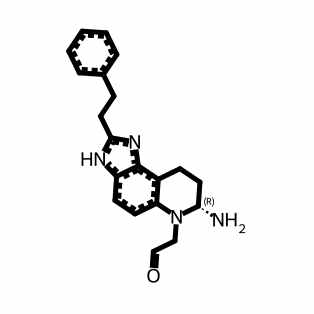 N[C@H]1CCc2c(ccc3[nH]c(CCc4ccccc4)nc23)N1CC=O